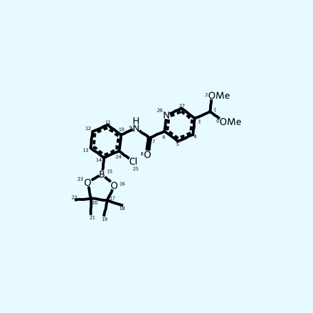 COC(OC)c1ccc(C(=O)Nc2cccc(B3OC(C)(C)C(C)(C)O3)c2Cl)nc1